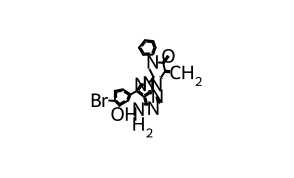 C=C(C#N)C(=O)N(CCn1nc(-c2ccc(Br)c(O)c2)c2c(N)ncnc21)c1ccccc1